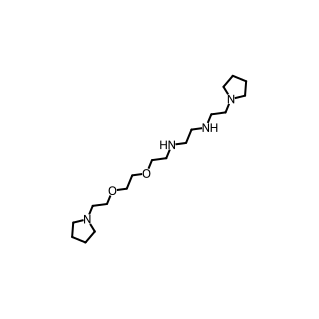 C1CCN(CCNCCNCCOCCOCCN2CCCC2)C1